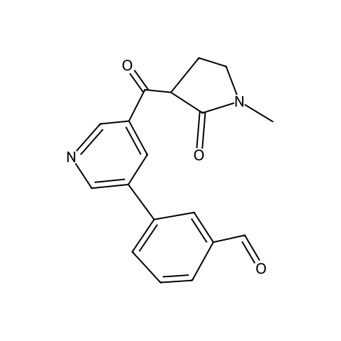 CN1CCC(C(=O)c2cncc(-c3cccc(C=O)c3)c2)C1=O